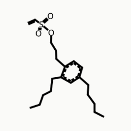 C=CS(=O)(=O)OCCCc1ccc(CCCCC)cc1CCCCC